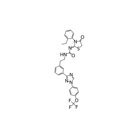 CCc1ccccc1N1C(=O)CSC1=NC(=O)NCCc1cccc(-c2ncn(-c3ccc(OC(F)(F)F)cc3)n2)c1